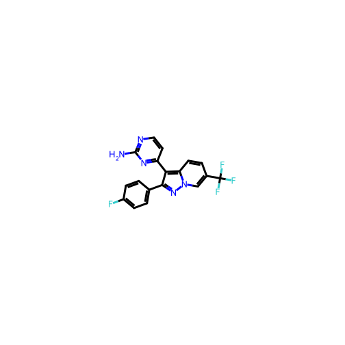 Nc1nccc(-c2c(-c3ccc(F)cc3)nn3cc(C(F)(F)F)ccc23)n1